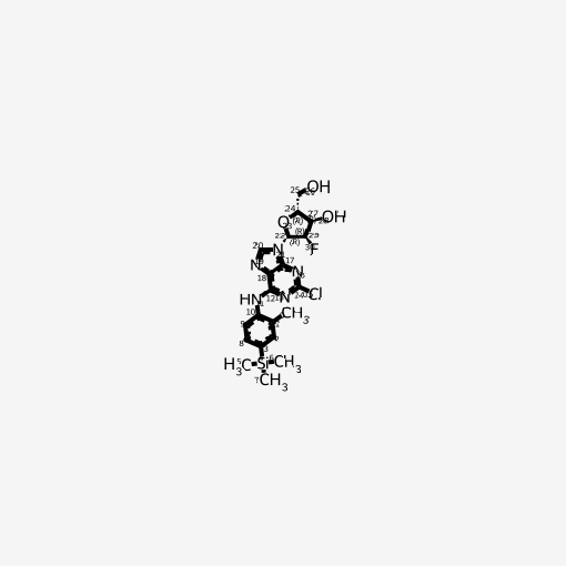 Cc1cc([Si](C)(C)C)ccc1Nc1nc(Cl)nc2c1ncn2[C@@H]1O[C@H](CO)[C@@H](O)[C@H]1F